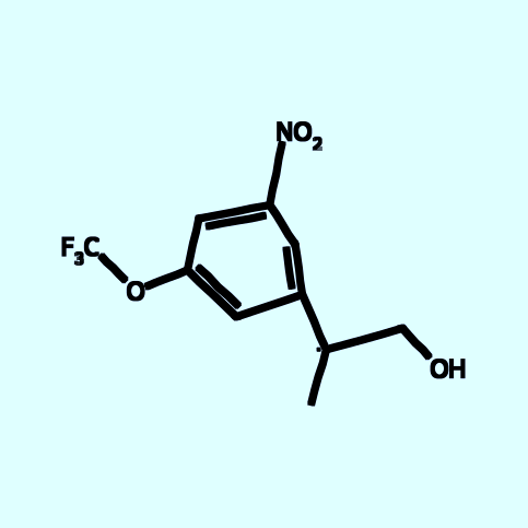 C[C](CO)c1cc(OC(F)(F)F)cc([N+](=O)[O-])c1